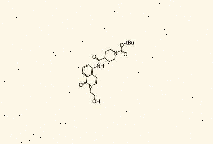 CC(C)(C)OC(=O)N1CCC(C(=O)Nc2cccc3c(=O)n(CCO)ccc23)CC1